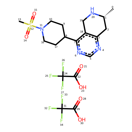 C[C@@H]1Cc2ncnc(C3CCN(S(C)(=O)=O)CC3)c2CN1.O=C(O)C(F)(F)F.O=C(O)C(F)(F)F